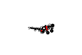 CSCCOCCC(=O)OCOC(=O)O[C@H]1CC2OC[C@@]2(OC(C)=O)[C@H]2[C@H](OC(=O)c3ccccc3)[C@]3(O)C[C@H](OC(=O)[C@H](O)[C@@H](NC(=O)c4ccccc4)c4ccccc4)C(C)=C([C@@H](C)C(=O)[C@]12C)C3(C)C